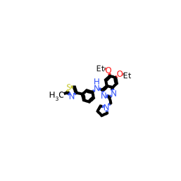 CCOc1cc2nc(CN3CCCC3)nc(Nc3cccc(-c4csc(C)n4)c3)c2cc1OCC